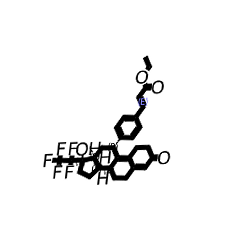 CCOC(=O)/C=C/c1ccc([C@H]2C[C@@]3(C)[C@@H](CC[C@@]3(O)C(F)(F)C(F)(F)F)[C@@H]3CCC4=CC(=O)CCC4=C32)cc1